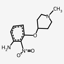 CN1CCC(Oc2cccc(N)c2[N+](=O)[O-])CC1